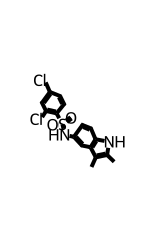 Cc1[nH]c2ccc(NS(=O)(=O)c3ccc(Cl)cc3Cl)cc2c1C